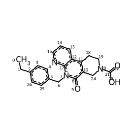 CCc1ccc(Cn2c(=O)c3c(c4cccnc42)CCN(C(=O)O)C3)cc1